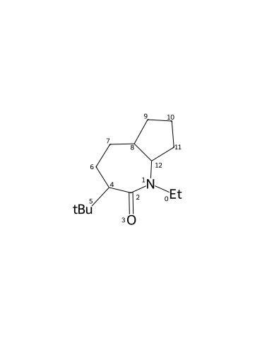 CCN1C(=O)C(C(C)(C)C)CCC2CCCC21